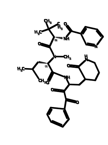 CC(C)C[C@@H](C(=O)NC(CC1CCCNC1=O)C(=O)C(=O)c1ccccc1)N(C)C(=O)[C@@H](NC(=O)c1cccnc1)C(C)(C)C